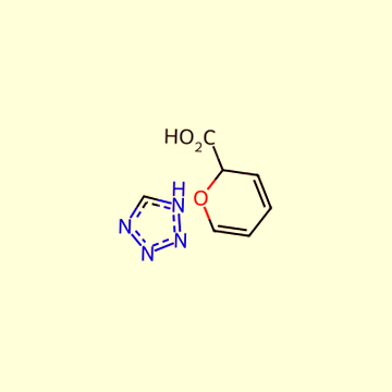 O=C(O)C1C=CC=CO1.c1nnn[nH]1